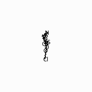 CN(C)c1cc2c(s1)-c1oc(/C=C3\SC(=S)N(CCOCCOCCCCCCCl)C3=O)cc1C2(C)C